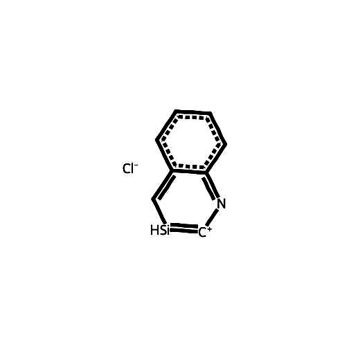 [C+]1=[SiH]C=c2ccccc2=N1.[Cl-]